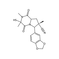 CN1C(=O)C2C[C@](C)(C#N)C(c3ccc4c(c3)OCO4)N2C(=O)C1(C)S